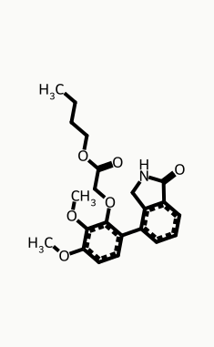 CCCCOC(=O)COc1c(-c2cccc3c2CNC3=O)ccc(OC)c1OC